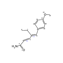 CCC(/C=C/C(N)=O)=C\c1ccc(OC)cc1